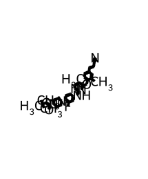 Cc1cc(/C=C/C#N)cc(C)c1Oc1ccnc(Nc2ccc(N3CCN(C(=O)OC(C)(C)C)CC3)c(F)c2)n1